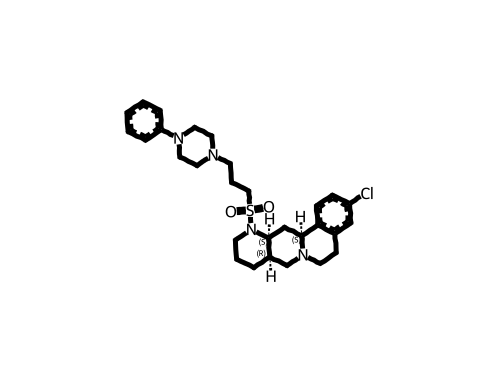 O=S(=O)(CCCN1CCN(c2ccccc2)CC1)N1CCC[C@@H]2CN3CCc4cc(Cl)ccc4[C@@H]3C[C@@H]21